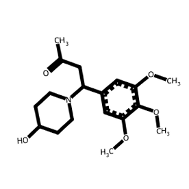 COc1cc(C(CC(C)=O)N2CCC(O)CC2)cc(OC)c1OC